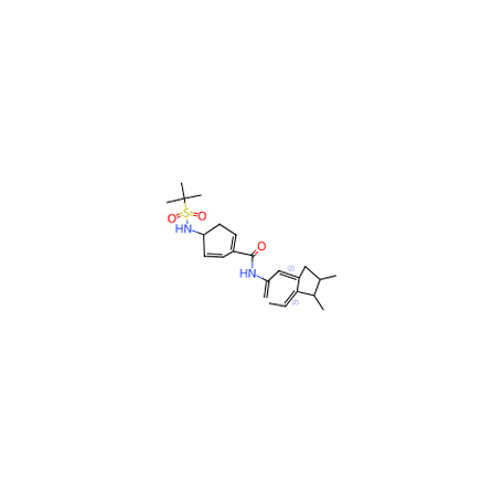 C=C(/C=C1/CC(C)C(C)/C1=C/C)NC(=O)C1=CCC(NS(=O)(=O)C(C)(C)C)C=C1